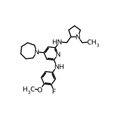 CCN1CCCC1CNc1cc(N2CCCCCC2)cc(Nc2ccc(OC)c(F)c2)n1